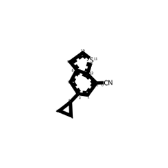 N#Cc1cc(C2CC2)cc2ccsc12